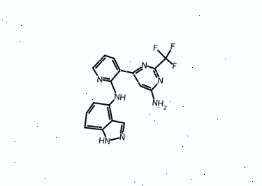 Nc1cc(-c2cccnc2Nc2cccc3[nH]ncc23)nc(C(F)(F)F)n1